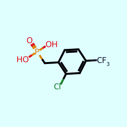 O=P(O)(O)Cc1ccc(C(F)(F)F)cc1Cl